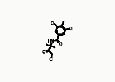 Cc1c(Cl)cc(C(=O)NC(C)(C)C(=O)CCl)cc1Cl